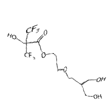 O=C(OCCOCC(CO)CO)C(O)(C(F)(F)F)C(F)(F)F